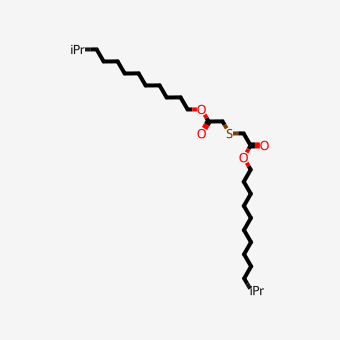 CC(C)CCCCCCCCCCOC(=O)CSCC(=O)OCCCCCCCCCCC(C)C